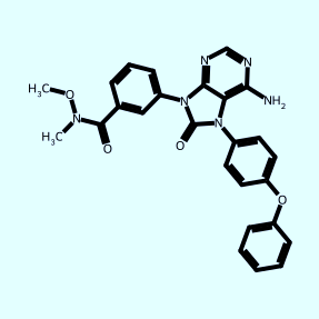 CON(C)C(=O)c1cccc(-n2c(=O)n(-c3ccc(Oc4ccccc4)cc3)c3c(N)ncnc32)c1